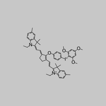 CCN1/C(=C/C=C2\CCC(/C=C/C3=[N+](CC)c4ccc(C)cc4C3(C)C)=C2Oc2ccc([I+]c3c(OC)cc(OC)cc3OC)cc2)C(C)(C)c2cc(C)ccc21